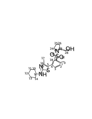 Cc1ccc(-c2sc(NC3CCCCC3)nc2C)cc1S(=O)(=O)N1CCC[C@H]1CO